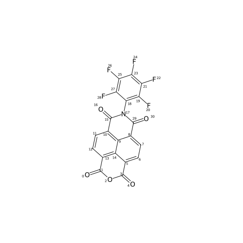 O=C1OC(=O)c2ccc3c4c(ccc1c24)C(=O)N(c1c(F)c(F)c(F)c(F)c1F)C3=O